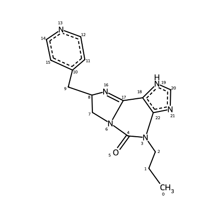 CCCN1C(=O)N2CC(Cc3ccncc3)N=C2c2[nH]cnc21